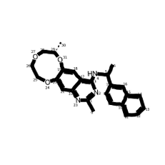 Cc1nc(NC(C)c2ccc3ccccc3c2)c2cc3c(cc2n1)OCCOC[C@H](C)O3